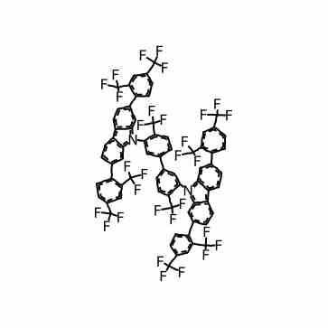 FC(F)(F)c1ccc(-c2ccc3c4ccc(-c5ccc(C(F)(F)F)cc5C(F)(F)F)cc4n(-c4cc(-c5ccc(C(F)(F)F)c(-n6c7cc(-c8ccc(C(F)(F)F)cc8C(F)(F)F)ccc7c7ccc(-c8ccc(C(F)(F)F)cc8C(F)(F)F)cc76)c5)ccc4C(F)(F)F)c3c2)c(C(F)(F)F)c1